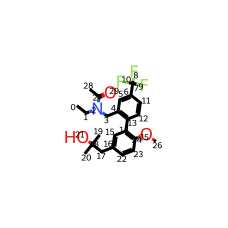 CCN(Cc1cc(C(F)(F)F)ccc1-c1cc(CC(C)(C)O)ccc1OC)C(C)=O